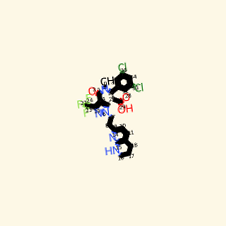 CN(C(=O)c1cn(CCc2ccc3c(n2)NCCC3)nc1C(F)(F)F)[C@@H](CC(=O)O)c1cc(Cl)cc(Cl)c1